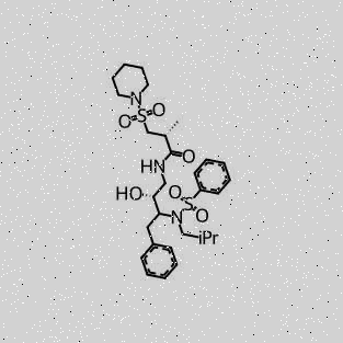 CC(C)CN(C(Cc1ccccc1)[C@H](O)CNC(=O)[C@@H](C)CS(=O)(=O)N1CCCCC1)S(=O)(=O)c1ccccc1